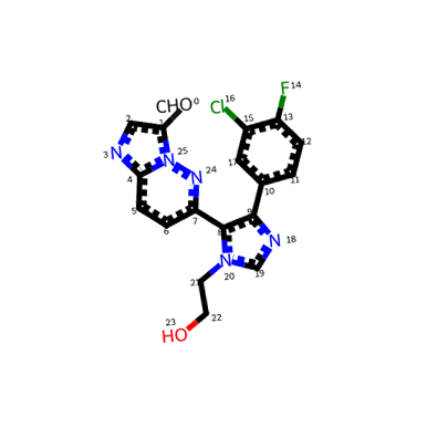 O=Cc1cnc2ccc(-c3c(-c4ccc(F)c(Cl)c4)ncn3CCO)nn12